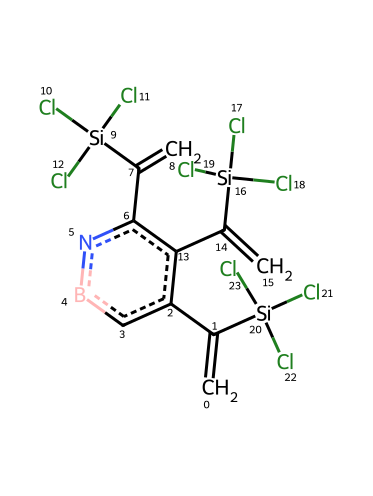 C=C(c1cbnc(C(=C)[Si](Cl)(Cl)Cl)c1C(=C)[Si](Cl)(Cl)Cl)[Si](Cl)(Cl)Cl